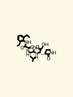 CCc1cccc(CC)c1NC(=O)C(=O)N[C@@H](CC(C)C)C(O)N[C@@H](C[C@@H]1CCNC1=O)C(=O)CO